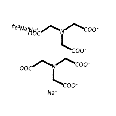 O=C([O-])CN(CC(=O)[O-])CC(=O)[O-].O=C([O-])CN(CC(=O)[O-])CC(=O)[O-].[Fe+3].[Na+].[Na+].[Na+]